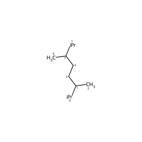 [CH2]C(C)C(C)CCC(C)C(C)C